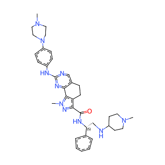 CN1CCC(NC[C@@H](NC(=O)c2nn(C)c3c2CCc2cnc(Nc4ccc(N5CCN(C)CC5)cc4)nc2-3)c2ccccc2)CC1